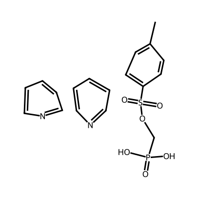 Cc1ccc(S(=O)(=O)OCP(=O)(O)O)cc1.c1ccncc1.c1ccncc1